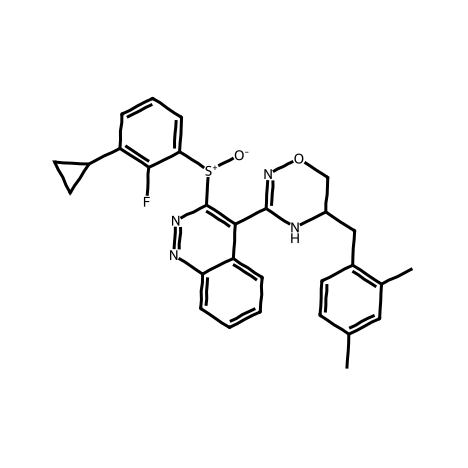 Cc1ccc(CC2CON=C(c3c([S+]([O-])c4cccc(C5CC5)c4F)nnc4ccccc34)N2)c(C)c1